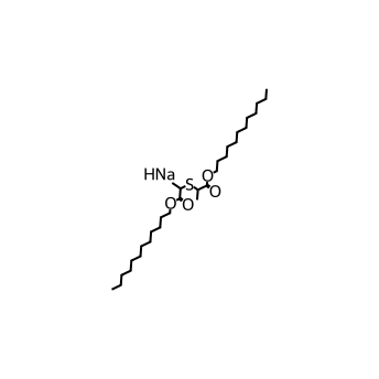 CCCCCCCCCCCCOC(=O)C(C)SC(C)C(=O)OCCCCCCCCCCCC.[NaH]